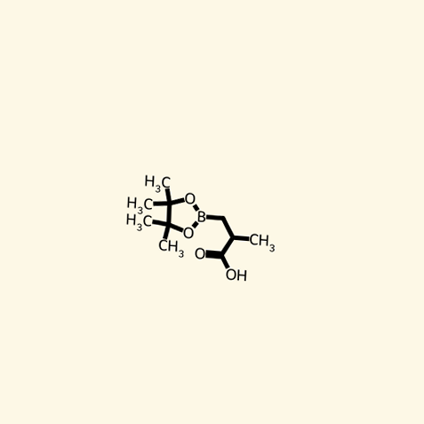 CC(CB1OC(C)(C)C(C)(C)O1)C(=O)O